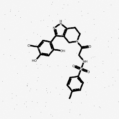 Cc1ccc(S(=O)(=O)NCC(=O)N2CCc3[nH]nc(-c4cc(Cl)c(O)cc4O)c3C2)cc1